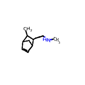 CNCC1C2C=CC(C2)C1C